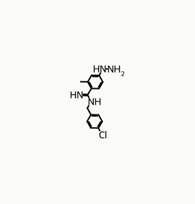 Cc1cc(NN)ccc1C(=N)NCc1ccc(Cl)cc1